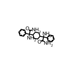 NC(=O)C(N)(c1ccccc1)C1CCC(C(N)(C(N)=O)c2ccccc2)CC1